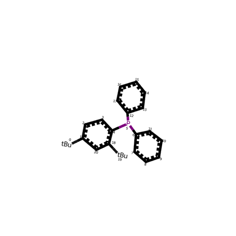 CC(C)(C)c1ccc(P(c2ccccc2)c2ccccc2)c(C(C)(C)C)c1